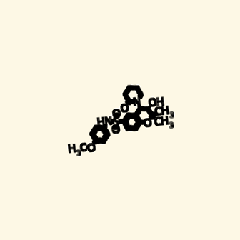 COc1ccc(NS(=O)(=O)c2ccc3c(c2)[C@@H](N2CCCCC2=O)[C@H](O)C(C)(C)O3)cc1